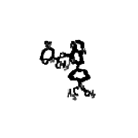 CC(=O)N1CCO[C@H](C(C)Oc2nc(-c3ccc(N(C)C)cc3)cc3nccnc23)C1